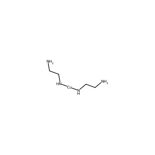 NCC[NH][Cu][NH]CCN